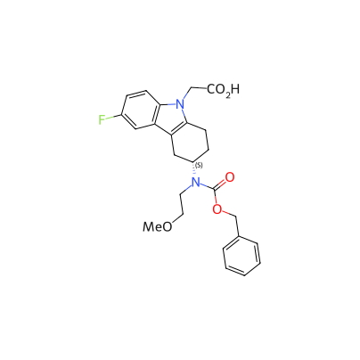 COCCN(C(=O)OCc1ccccc1)[C@H]1CCc2c(c3cc(F)ccc3n2CC(=O)O)C1